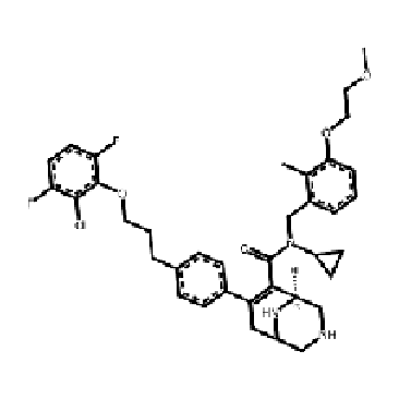 COCCOc1cccc(CN(C(=O)C2=C(c3ccc(CCCOc4c(F)ccc(F)c4Cl)cc3)CC3CNC[C@H]2N3)C2CC2)c1C